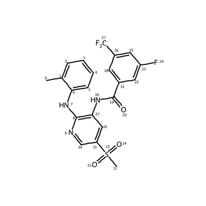 Cc1ccccc1Nc1ncc(S(C)(=O)=O)cc1NC(=O)c1cc(F)cc(C(F)(F)F)c1